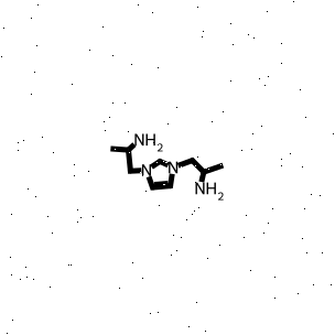 CC(N)CN1C=CN(CC(C)N)C1